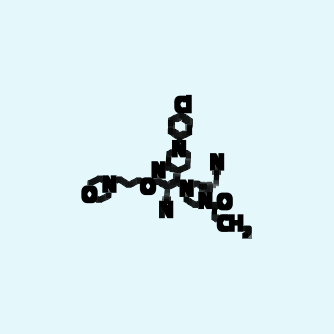 C=CC(=O)N1CCN(c2c(C#N)c(OCCCN3CCOCC3)nc3c2CCN(c2ccc(Cl)cc2)C3)C[C@@H]1CC#N